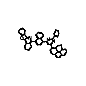 c1ccc(-c2nc(-c3ccc(-c4nc5c6ccccc6oc5c5ccccc45)c4ccccc34)cc(-c3ccc4ccc5cccc6ccc3c4c56)n2)cc1